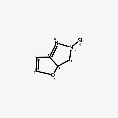 SN1CC2OC=CC2=N1